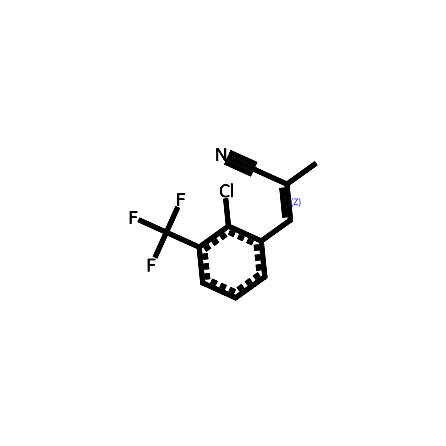 C/C(C#N)=C/c1cccc(C(F)(F)F)c1Cl